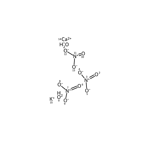 O.O.O=[N+]([O-])[O-].O=[N+]([O-])[O-].O=[N+]([O-])[O-].[Ca+2].[K+]